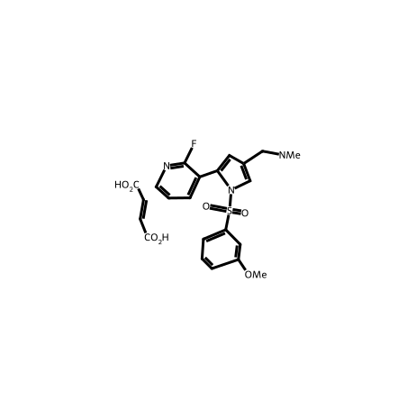 CNCc1cc(-c2cccnc2F)n(S(=O)(=O)c2cccc(OC)c2)c1.O=C(O)/C=C/C(=O)O